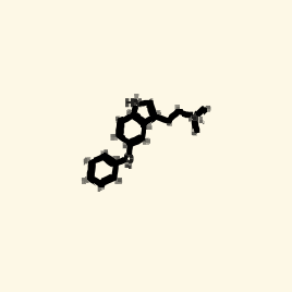 CN(C)CCc1c[nH]c2ccc(Oc3ccccc3)cc12